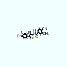 Cc1cc(C(=O)Nc2scc(-c3ccc(Br)cc3)c2C(=O)O)ccc1C#N